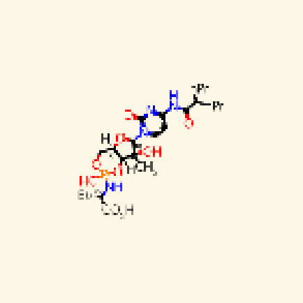 CCCC(CCC)C(=O)Nc1ccn([C@@H]2O[C@@H]3CO[P](O)(N[C@@H](CC)C(=O)O)O[C@H]3[C@@]2(C)O)c(=O)n1